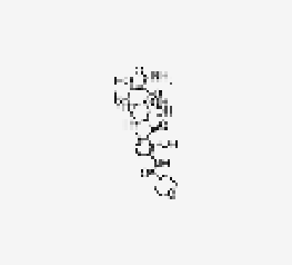 CN(C)[C@@H]1C(O)=C(C(N)=O)C(=O)[C@@]2(O)C(O)=C3C(=O)c4c(ccc(NC(=O)N5CCOCC5)c4O)C[C@H]3C[C@@H]12